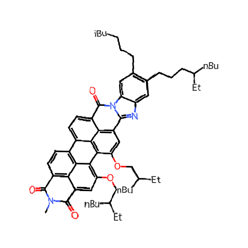 CCCCC(CC)CCCc1cc2nc3c4cc(OCC(CC)CCCC)c5c6c(OCC(CC)CCCC)cc7c8c(ccc(c9ccc(c(=O)n3c2cc1CCCC(C)CC)c4c95)c86)C(=O)N(C)C7=O